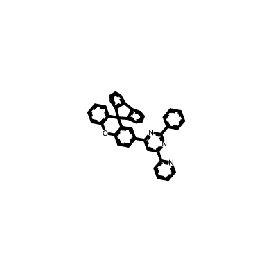 c1ccc(-c2nc(-c3ccc4c(c3)C3(c5ccccc5O4)c4ccccc4-c4ccccc43)cc(-c3ccccn3)n2)cc1